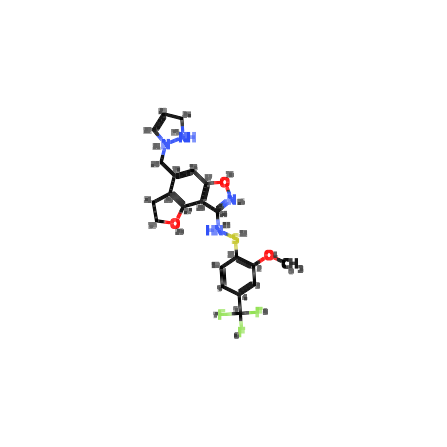 COc1cc(C(F)(F)F)ccc1SNc1noc2cc(CN3C=CCN3)c3c(c12)OCC3